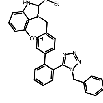 CCOC1Nc2cccc(C(=O)O)c2N1Cc1ccc(-c2ccccc2-c2nnnn2Cc2ccccc2)cc1